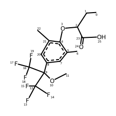 CCC(Oc1c(C)cc(C(OC)(C(F)(F)F)C(F)(F)F)cc1C)C(=O)O